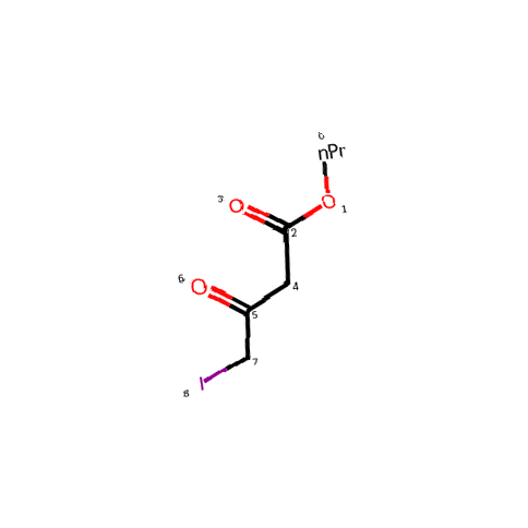 CCCOC(=O)CC(=O)CI